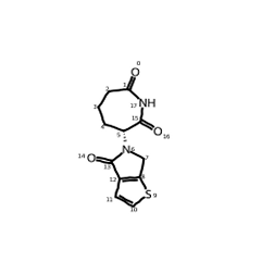 O=C1CCC[C@@H](N2Cc3sccc3C2=O)C(=O)N1